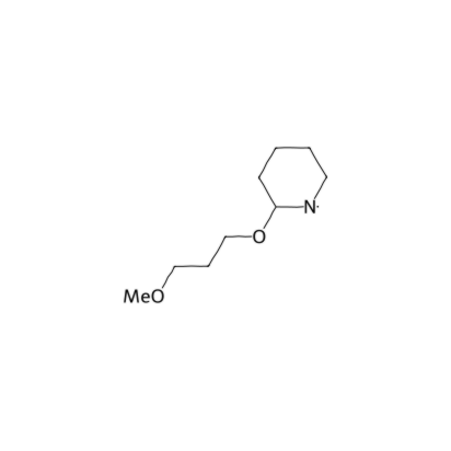 COCCCOC1CCCC[N]1